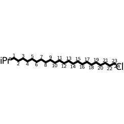 CC(C)CCCCCCCCCCCCCCCCCCCCCCCCl